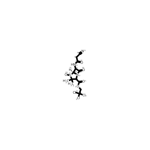 CC1(C)C(C(=O)OCC(Cl)(Cl)Cl)N2C(=O)C(NC(=O)CC#N)[C@@H]2[S+]1[O-]